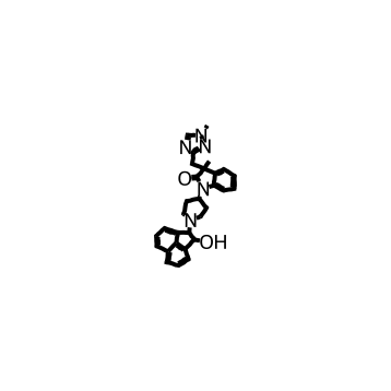 Cn1cnc(CC2(C)C(=O)N(C3CCN(C4c5cccc6cccc(c56)C4O)CC3)c3ccccc32)n1